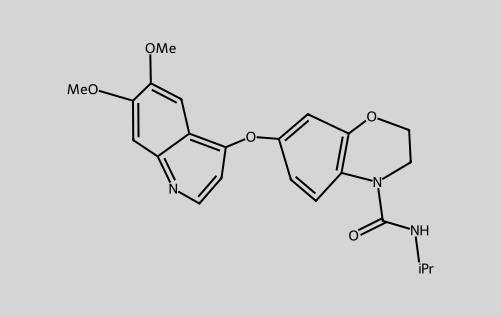 COc1cc2nccc(Oc3ccc4c(c3)OCCN4C(=O)NC(C)C)c2cc1OC